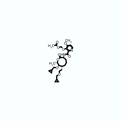 COc1ccnc(C(=O)N[C@H]2CCC[C@H](CCOCC3CC3)[C@@H](OCC3CC3)[C@H](C)OC2=O)c1OCOC(C)=O